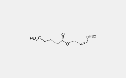 CCCCCC/C=C\COC(=O)CCCC(=O)O